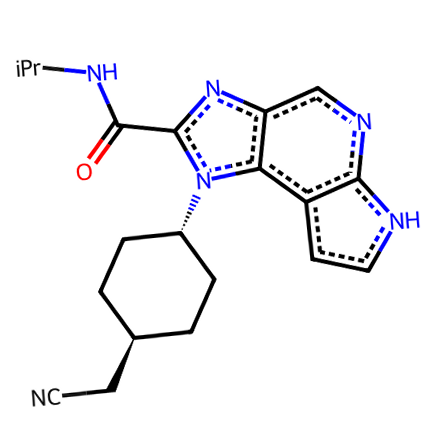 CC(C)NC(=O)c1nc2cnc3[nH]ccc3c2n1[C@H]1CC[C@H](CC#N)CC1